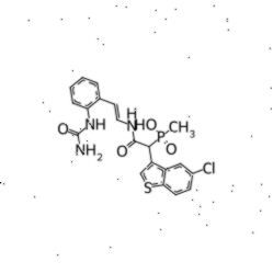 CP(=O)(O)C(C(=O)NC=Cc1ccccc1NC(N)=O)c1csc2ccc(Cl)cc12